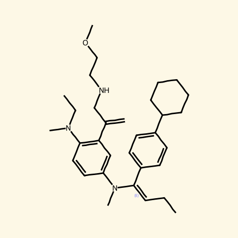 C=C(CNCCOC)c1cc(N(C)/C(=C/CC)c2ccc(C3CCCCC3)cc2)ccc1N(C)CC